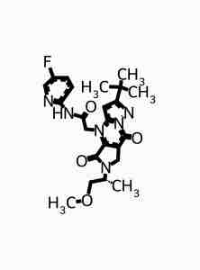 COC[C@@H](C)N1Cc2c(n(CC(=O)Nc3ccc(F)cn3)c3cc(C(C)(C)C)nn3c2=O)C1=O